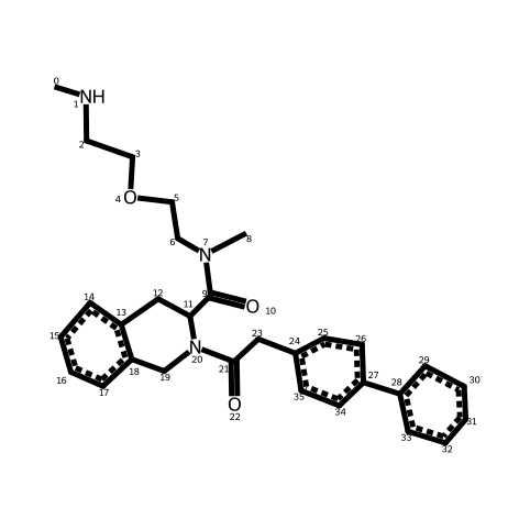 CNCCOCCN(C)C(=O)C1Cc2ccccc2CN1C(=O)Cc1ccc(-c2ccccc2)cc1